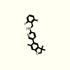 Cc1cc2c(cc1-c1ccc(NCc3c(F)cccc3F)nc1)C(C)(C)CO2